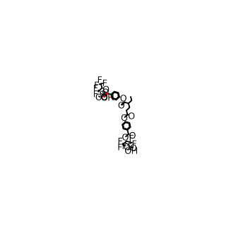 CCC(CCC(=O)Oc1ccc(C(=O)OC(C(F)(F)F)C(F)(F)S(=O)(=O)O)cc1)C(=O)Oc1ccc(C(=O)OC(C(F)(F)F)C(F)(F)S(=O)(=O)O)cc1